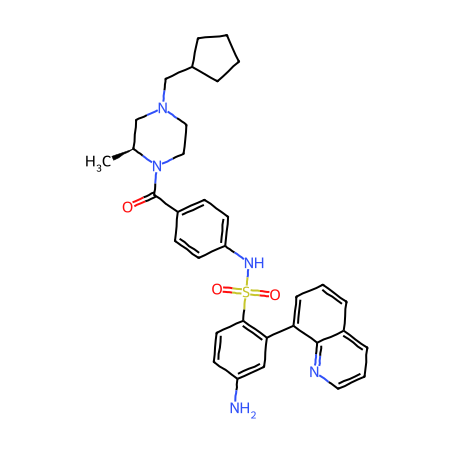 C[C@H]1CN(CC2CCCC2)CCN1C(=O)c1ccc(NS(=O)(=O)c2ccc(N)cc2-c2cccc3cccnc23)cc1